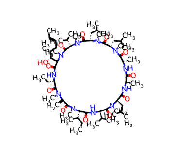 C=C1C(=O)N(C)[C@@H](C(C)CC)C(=O)N[C@H](C(C)C)C(=O)N(C)[C@H](CC(C)C)C(=O)N[C@H](C)C(=O)N[C@@H](C)C(=O)N(C)[C@@H](CC(C)C)C(=O)N(C)[C@@H](CC(C)C)C(=O)N(C)[C@@H](C(C)C)C(=O)N(C)C([C@H](O)[C@H](C)C/C=C/C)C(=O)N[C@@H](CC)C(=O)N1C